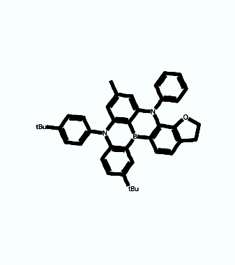 Cc1cc2c3c(c1)N(c1ccccc1)c1c(ccc4c1OCC4)B3c1cc(C(C)(C)C)ccc1N2c1ccc(C(C)(C)C)cc1